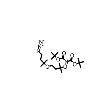 CC(C)(C)OC(=O)N(OC(C)(C)CCOC(C)(C)CCN=[N+]=[N-])C(=O)OC(C)(C)C